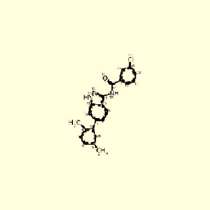 Cc1ccc(C)c(-c2ccc3c(NC(=O)c4cccc(Cl)c4)n[nH]c3c2)c1